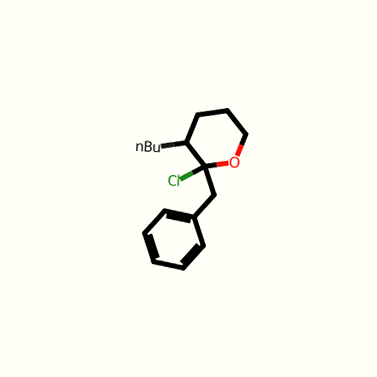 CCCCC1CCCOC1(Cl)Cc1ccccc1